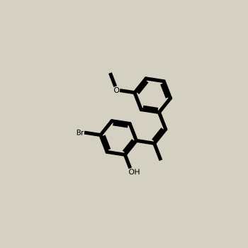 COc1cccc(C=C(C)c2ccc(Br)cc2O)c1